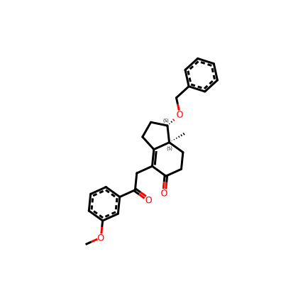 COc1cccc(C(=O)CC2=C3CC[C@H](OCc4ccccc4)[C@@]3(C)CCC2=O)c1